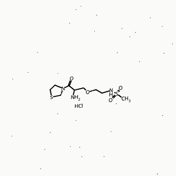 CS(=O)(=O)NCCOCC(N)C(=O)N1CCSC1.Cl